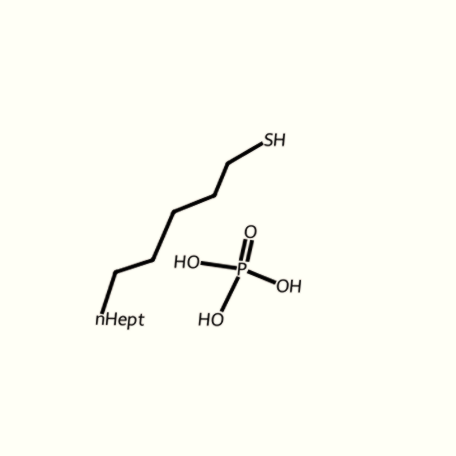 CCCCCCCCCCCCS.O=P(O)(O)O